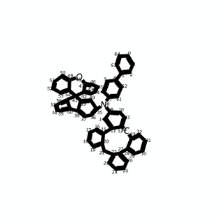 c1ccc(-c2ccc(N(c3ccc4c(c3)-c3ccccc3Cc3ccccc3-c3ccccc3C4)c3ccc4c(c3)C3(c5ccccc5Oc5ccccc53)c3ccccc3-4)cc2)cc1